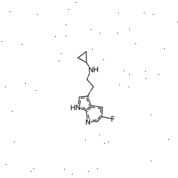 Fc1cnc2[nH]cc(CCNC3CC3)c2c1